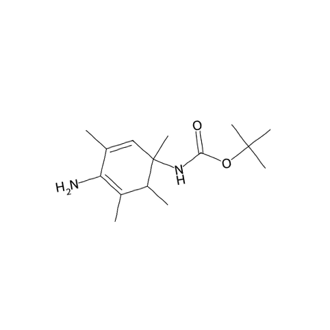 CC1=CC(C)(NC(=O)OC(C)(C)C)C(C)C(C)=C1N